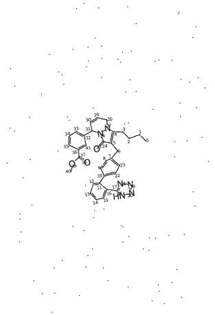 CCCCc1c(Cc2ccc(-c3ccccc3-c3nnn[nH]3)cc2)c(=O)n2n1CC=CC2c1cccc(C(=O)OC)c1